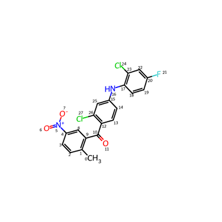 Cc1ccc([N+](=O)[O-])cc1C(=O)c1ccc(Nc2ccc(F)cc2Cl)cc1Cl